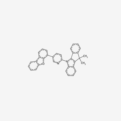 CC1(C)c2ccccc2-c2c1c1ccccc1n2-c1ccc(-c2cccc3c2oc2ccccc23)cn1